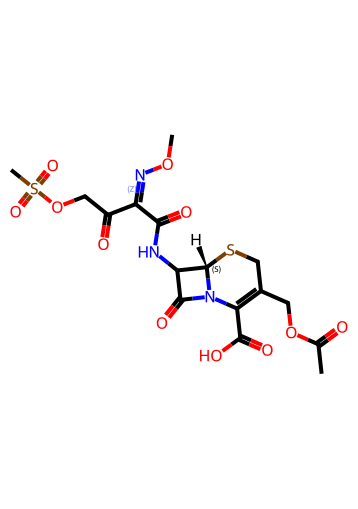 CO/N=C(/C(=O)COS(C)(=O)=O)C(=O)NC1C(=O)N2C(C(=O)O)=C(COC(C)=O)CS[C@@H]12